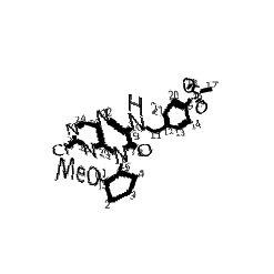 CO[C@H]1CCC[C@@H]1n1c(=O)c(NCc2ccc(S(C)(=O)=O)cc2)nc2cnc(Cl)nc21